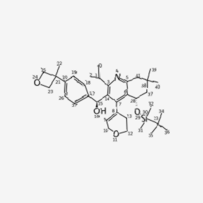 CC(C)c1nc2c(c(C3=CCOCC3)c1[C@@H](O)c1ccc(C3(C)COC3)cc1)[C@@H](O[Si](C)(C)C(C)(C)C)CC(C)(C)C2